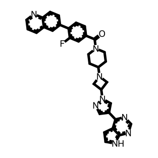 O=C(c1ccc(-c2ccc3ncccc3c2)c(F)c1)N1CCC(N2CC(n3cc(-c4ncnc5[nH]ccc45)cn3)C2)CC1